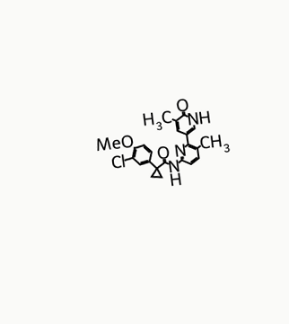 COc1ccc(C2(C(=O)Nc3ccc(C)c(-c4c[nH]c(=O)c(C)c4)n3)CC2)cc1Cl